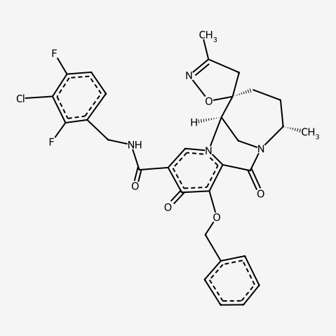 CC1=NO[C@@]2(CC[C@H](C)N3C[C@H]2n2cc(C(=O)NCc4ccc(F)c(Cl)c4F)c(=O)c(OCc4ccccc4)c2C3=O)C1